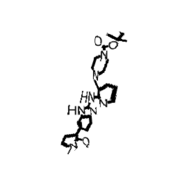 COc1ncccc1-c1ccc2nc(Nc3ncccc3CN3CCN(C(=O)OC(C)(C)C)CC3)[nH]c2c1